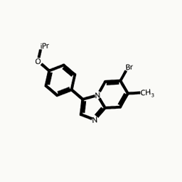 Cc1cc2ncc(-c3ccc(OC(C)C)cc3)n2cc1Br